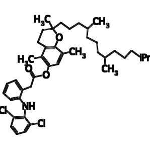 Cc1cc(OC(=O)Cc2ccccc2Nc2c(Cl)cccc2Cl)c(C)c2c1OC(C)(CCCC(C)CCCC(C)CCCC(C)C)CC2